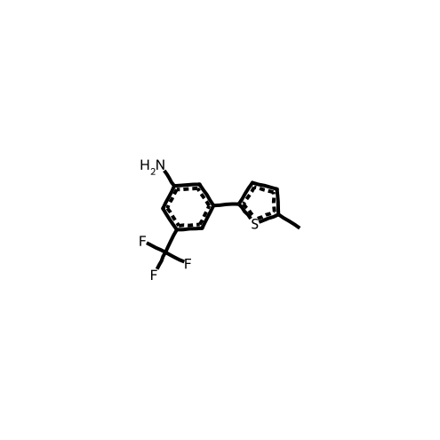 Cc1ccc(-c2cc(N)cc(C(F)(F)F)c2)s1